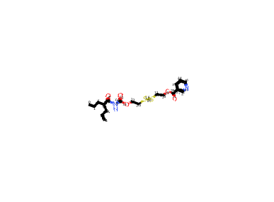 CCCC(CCC)C(=O)NC(=O)OCCSSCCOC(=O)c1cccnc1